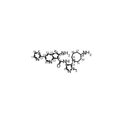 Cn1ncc(NC(=O)c2c(N)sc3cc(-c4nccs4)cnc23)c1N1CCC[C@@H](N)CC1